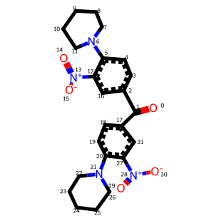 O=C(c1ccc(N2CCCCC2)c([N+](=O)[O-])c1)c1ccc(N2CCCCC2)c([N+](=O)[O-])c1